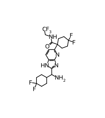 NC(c1nc2nc(C3(C(=O)NCC(F)(F)F)CCC(F)(F)CC3)ccc2[nH]1)C1CCC(F)(F)CC1